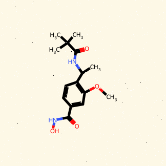 COc1cc(C(=O)NO)ccc1C(C)NC(=O)C(C)(C)C